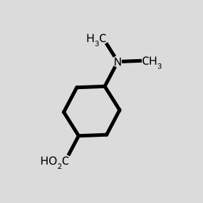 CN(C)C1CCC(C(=O)O)CC1